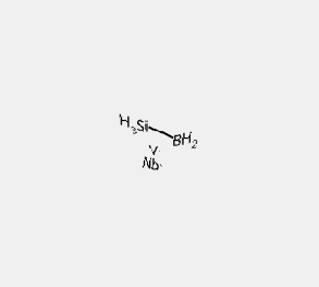 B[SiH3].[Nb].[V]